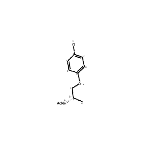 CC(=O)N[C@@H](C)CSc1ccc(Cl)cc1